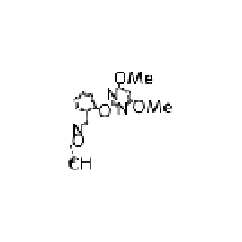 C#CCON=Cc1ccccc1Oc1nc(OC)cc(OC)n1